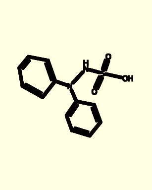 O=S(=O)(O)NN(c1ccccc1)c1ccccc1